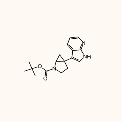 CC(C)(C)OC(=O)N1CCC2(c3c[nH]c4ncccc34)CC12